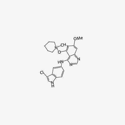 COc1cc(O[N+]2(C)CCCCC2)c2c(Nc3ccc4[nH]cc(Cl)c4c3)ncnc2c1